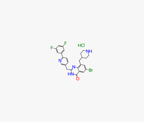 Cl.O=c1[nH]c(Cc2ccc(-c3cc(F)cc(F)c3)nc2)nc2c(CC3CCNCC3)cc(Br)cc12